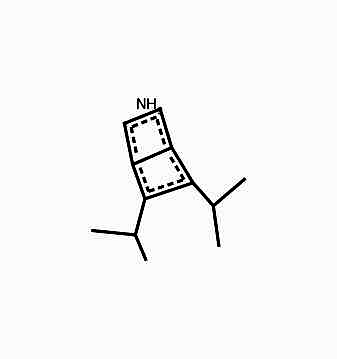 CC(C)c1c2ccc-2c1C(C)C.N